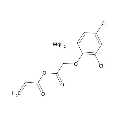 C=CC(=O)OC(=O)COc1ccc(Cl)cc1Cl.[MgH2]